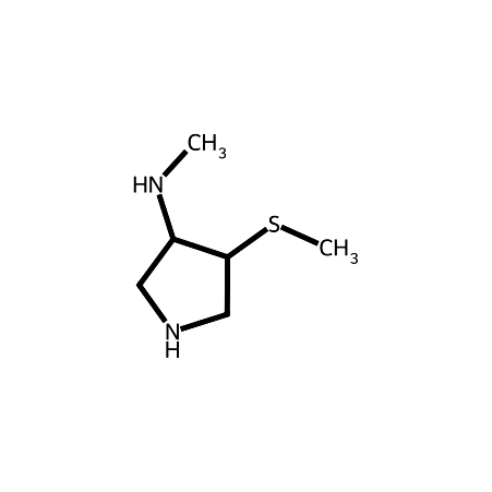 CNC1CNCC1SC